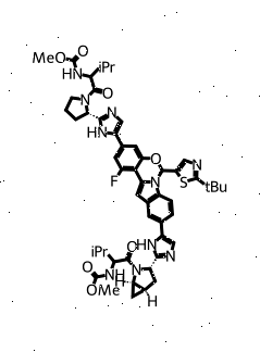 COC(=O)NC(C(=O)N1CCC[C@H]1c1ncc(-c2cc(F)c3c(c2)OC(c2cnc(C(C)(C)C)s2)n2c-3cc3cc(-c4cnc([C@@H]5C[C@H]6C[C@H]6N5C(=O)C(NC(=O)OC)C(C)C)[nH]4)ccc32)[nH]1)C(C)C